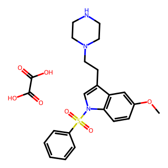 COc1ccc2c(c1)c(CCN1CCNCC1)cn2S(=O)(=O)c1ccccc1.O=C(O)C(=O)O